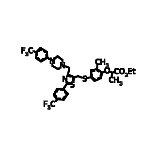 CCOC(=O)C(C)Oc1ccc(SCc2sc(-c3ccc(C(F)(F)F)cc3)nc2CN2CCN(c3ccc(C(F)(F)F)cc3)CC2)cc1C